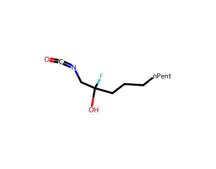 CCCCCCCCC(O)(F)CN=C=O